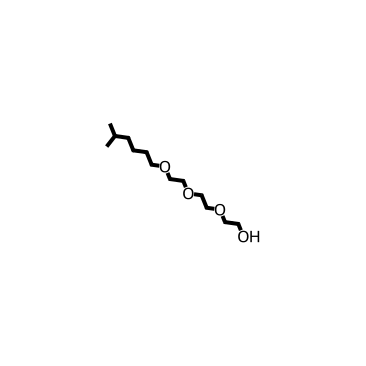 CC(C)CCCCOCCOCCOCCO